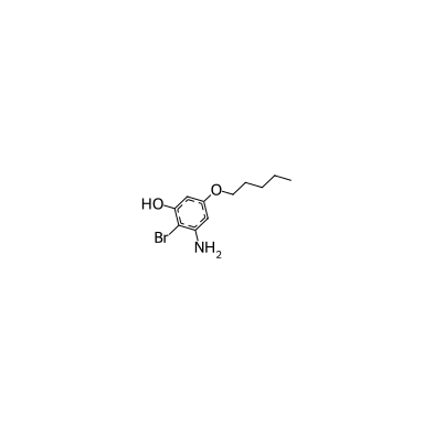 CCCCCOc1cc(N)c(Br)c(O)c1